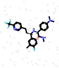 CNC(=O)[C@@H](N[C@H](CCc1ccc(C(F)(F)F)nc1)c1ccc(F)c(C)c1)c1ccc(N(C)C)cc1